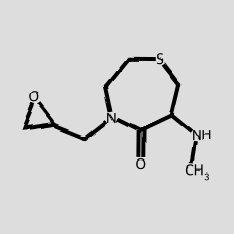 CNC1CSCCN(CC2CO2)C1=O